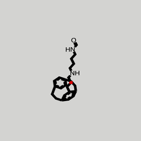 O=CNCCCCNCCCc1cc2ccc1CCc1ccc(cc1)CC2